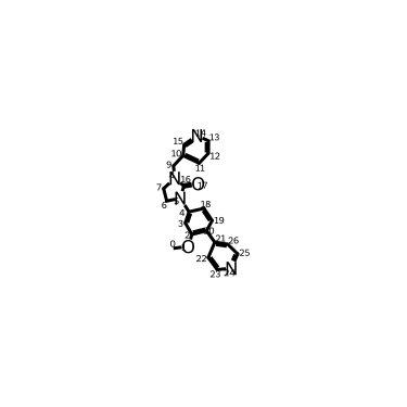 COc1cc(N2CCN(Cc3cccnc3)C2=O)ccc1-c1ccncc1